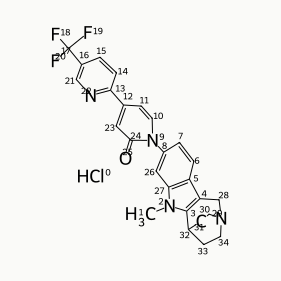 Cl.Cn1c2c(c3ccc(-n4ccc(-c5ccc(C(F)(F)F)cn5)cc4=O)cc31)CN1CCC2CC1